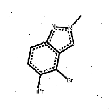 CC(C)c1ccc2nn(C)cc2c1Br